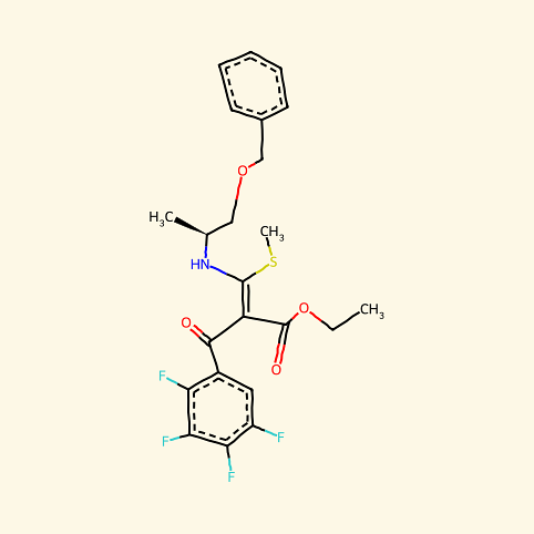 CCOC(=O)/C(C(=O)c1cc(F)c(F)c(F)c1F)=C(/N[C@@H](C)COCc1ccccc1)SC